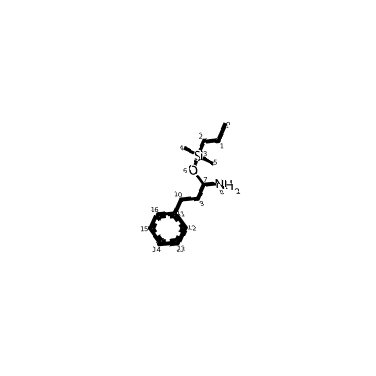 CCC[Si](C)(C)OC(N)CCc1ccccc1